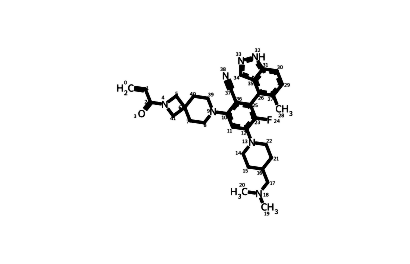 C=CC(=O)N1CC2(CCN(c3cc(N4CCC(CN(C)C)CC4)c(F)c(-c4c(C)ccc5[nH]ncc45)c3C#N)CC2)C1